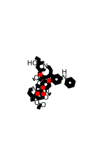 CC[C@]1(O)C[C@H]2CN(CCc3c([nH]c4ccc(Nc5ccccc5)cc34)[C@@](C(=O)OC)(C3C=C4C(=CC3OC)N(C)[C@@]35O[C@]3(C(=O)OC)[C@H](OC(C)=O)[C@]3(CC)C=CCN6CC[C@]45[C@@H]63)C2)C1